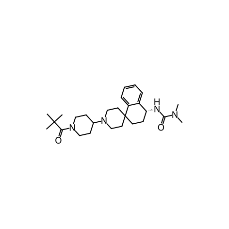 CN(C)C(=O)N[C@@H]1CCC2(CCN(C3CCN(C(=O)C(C)(C)C)CC3)CC2)c2ccccc21